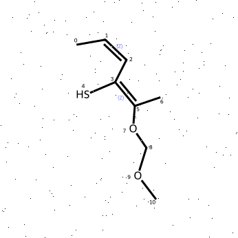 C/C=C\C(S)=C(/C)OCOC